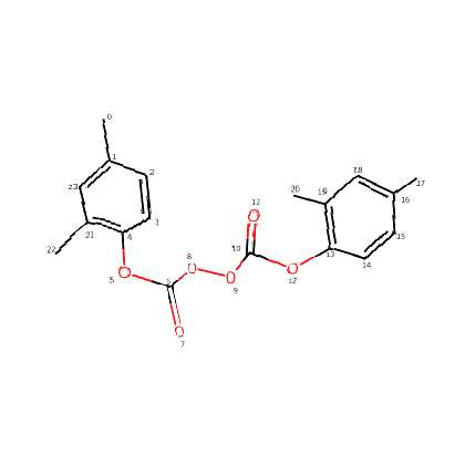 Cc1ccc(OC(=O)OOC(=O)Oc2ccc(C)cc2C)c(C)c1